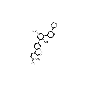 Cc1cc(-c2ccnc(N3CCCC3)c2)c(O)c(-c2ccc(N(C=O)/C=C\N(C)C)c(Cl)c2)c1